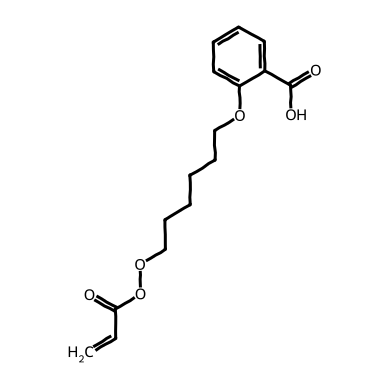 C=CC(=O)OOCCCCCCOc1ccccc1C(=O)O